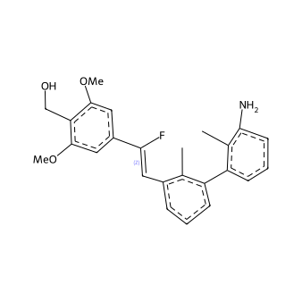 COc1cc(/C(F)=C/c2cccc(-c3cccc(N)c3C)c2C)cc(OC)c1CO